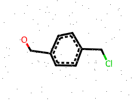 [O]Cc1ccc(CCl)cc1